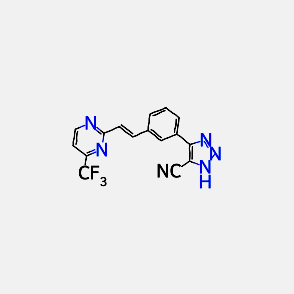 N#Cc1[nH]nnc1-c1cccc(C=Cc2nccc(C(F)(F)F)n2)c1